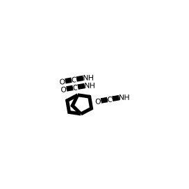 C1CC2CCC1C2.N=C=O.N=C=O.N=C=O